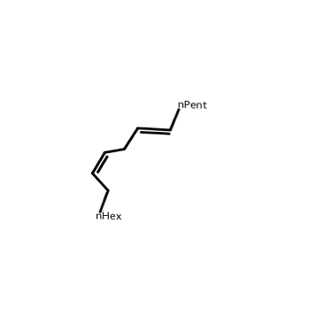 [CH2]CCCCCC/C=C\CC=CCCCCC